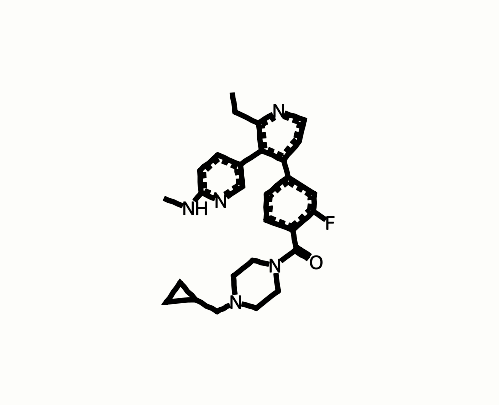 CCc1nccc(-c2ccc(C(=O)N3CCN(CC4CC4)CC3)c(F)c2)c1-c1ccc(NC)nc1